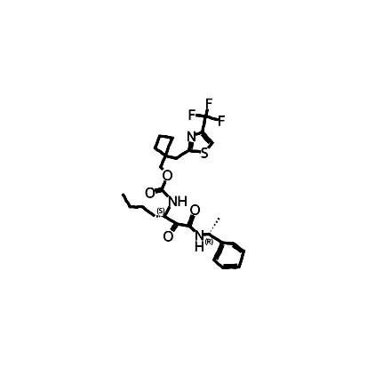 CCCC[C@H](NC(=O)OCC1(Cc2nc(C(F)(F)F)cs2)CCC1)C(=O)C(=O)N[C@H](C)c1ccccc1